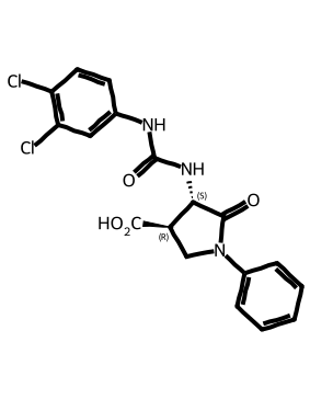 O=C(Nc1ccc(Cl)c(Cl)c1)N[C@@H]1C(=O)N(c2ccccc2)C[C@H]1C(=O)O